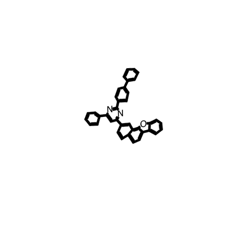 c1ccc(-c2ccc(-c3nc(-c4ccccc4)cc(-c4ccc5ccc6c7ccccc7oc6c5c4)n3)cc2)cc1